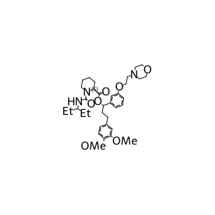 CCC(CC)NC(=O)N1CCCC[C@H]1C(=O)OC(CCc1ccc(OC)c(OC)c1)c1cccc(OCCN2CCOCC2)c1